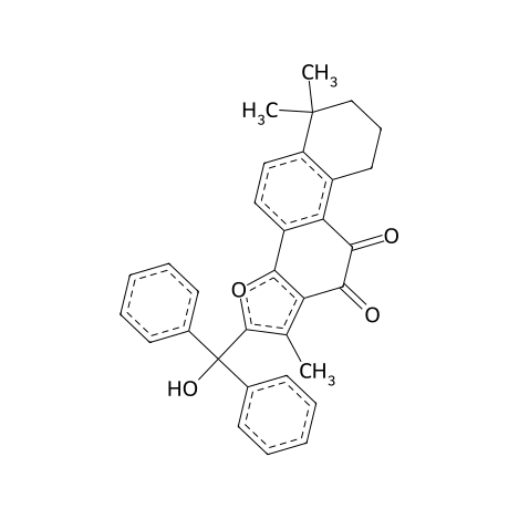 Cc1c(C(O)(c2ccccc2)c2ccccc2)oc2c1C(=O)C(=O)c1c-2ccc2c1CCCC2(C)C